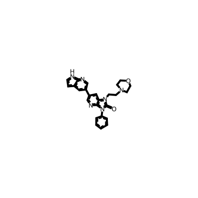 O=c1n(CCN2CCOCC2)c2cc(-c3cnc4[nH]ccc4c3)cnc2n1-c1ccccc1